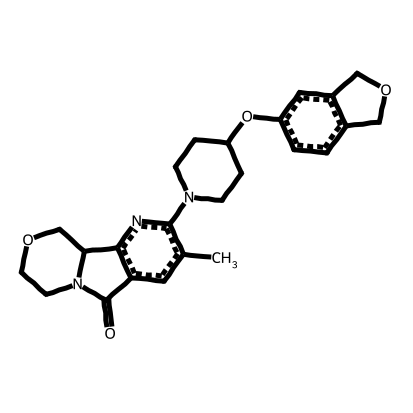 Cc1cc2c(nc1N1CCC(Oc3ccc4c(c3)COC4)CC1)C1COCCN1C2=O